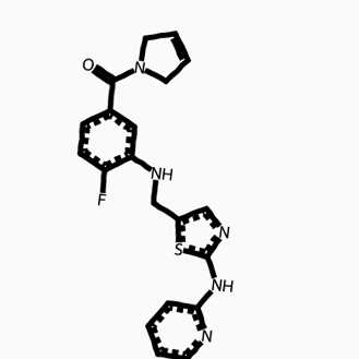 O=C(c1ccc(F)c(NCc2cnc(Nc3ccccn3)s2)c1)N1CC=CC1